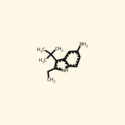 CCc1[nH]c2ccc(N)cc2c1C(C)(C)C